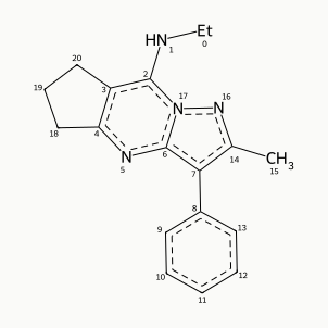 CCNc1c2c(nc3c(-c4ccccc4)c(C)nn13)CCC2